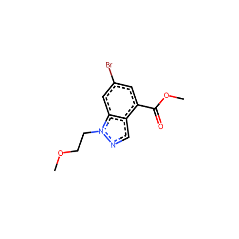 COCCn1ncc2c(C(=O)OC)cc(Br)cc21